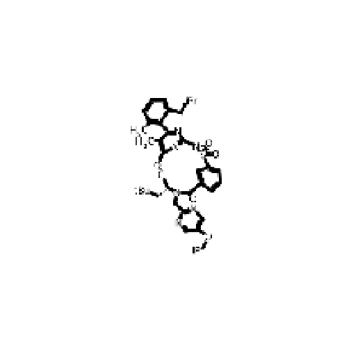 Cc1cccc(CC(C)C)c1-c1nc2nc(c1C)OC[C@@H](CC(C)(C)C)N(Cc1ncc(OC(C)C)cn1)C(=O)c1cccc(c1)S(=O)(=O)N2